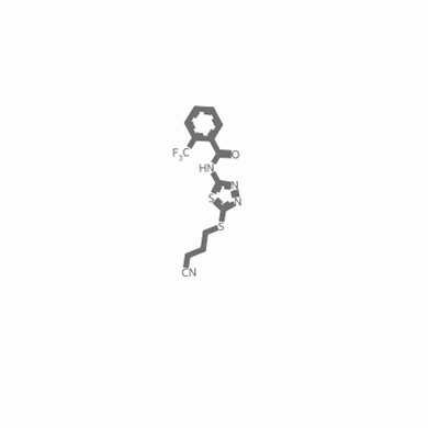 N#CCCCSc1nnc(NC(=O)c2ccccc2C(F)(F)F)s1